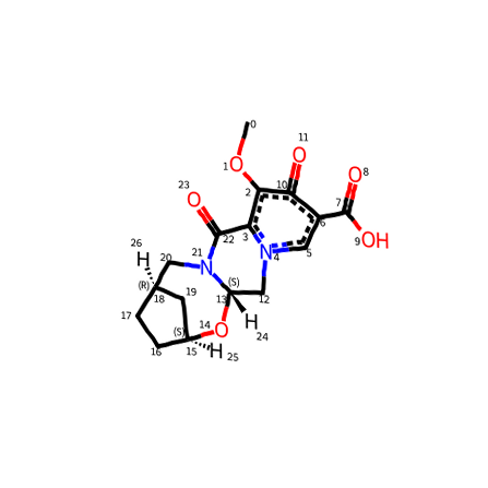 COc1c2n(cc(C(=O)O)c1=O)C[C@@H]1O[C@H]3CC[C@H](C3)CN1C2=O